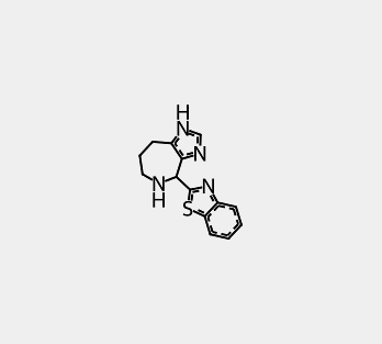 c1ccc2sc(C3NCCCc4[nH]cnc43)nc2c1